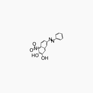 O=[N+]([O-])c1c(O)c(O)cc2cc(N=Nc3ccccc3)ccc12